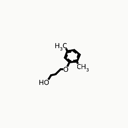 Cc1ccc(C)c(OCCCO)c1